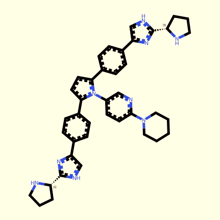 c1cc(-c2ccc(-c3ccc(-c4c[nH]c([C@@H]5CCCN5)n4)cc3)n2-c2ccc(N3CCCCC3)nc2)ccc1-c1c[nH]c([C@@H]2CCCN2)n1